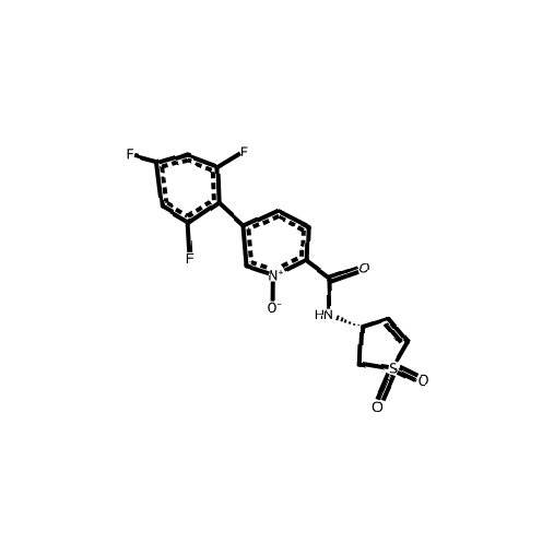 O=C(N[C@@H]1C=CS(=O)(=O)C1)c1ccc(-c2c(F)cc(F)cc2F)c[n+]1[O-]